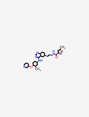 Cc1cc(C(=O)NC/C=C/c2ccc3ncnc(Nc4ccc(Oc5cccnc5)c(C)c4)c3c2)no1